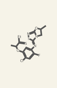 CCC(=S)C(C)Oc1cc(N=c2snc3n2CC(C)O3)c(F)cc1Cl